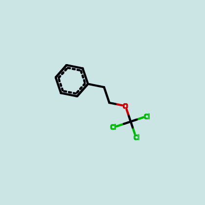 ClC(Cl)(Cl)OCCc1ccccc1